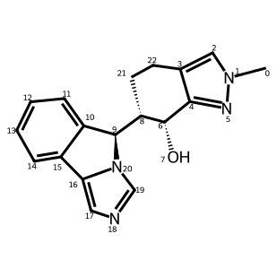 Cn1cc2c(n1)[C@H](O)[C@H]([C@@H]1c3ccccc3-c3cncn31)CC2